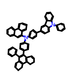 C1=Cc2c(c3c(c(-c4ccc(N(c5ccc(-c6ccc7c(c6)c6ccccc6n7-c6ccccc6)cc5)c5cc6ccccc6c6ccccc56)cc4)c2-c2ccccc2)C=CCC3)CC1